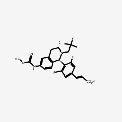 C[C@H]1Cc2cc(NC(=O)OC(C)(C)C)ccc2[C@H](c2c(F)cc(/C=C/C(=O)O)cc2F)N1CC(C)(C)F